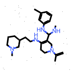 C=C(C)N1CCC(NCCC2CCCN(C)C2)=C(C(NC)Nc2cccc(C)c2)C1